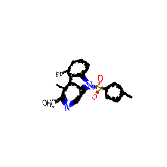 CCc1cccc2c1c1c(C)c(C=O)ncc1n2S(=O)(=O)c1ccc(C)cc1